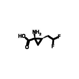 N[C@]1(C(=O)O)C[C@H]1CC(F)F